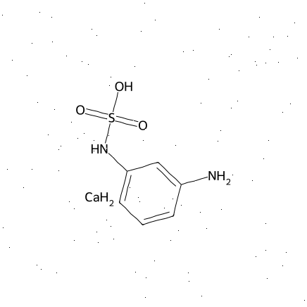 Nc1cccc(NS(=O)(=O)O)c1.[CaH2]